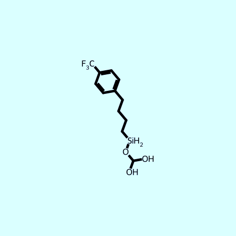 OC(O)O[SiH2]CCCCc1ccc(C(F)(F)F)cc1